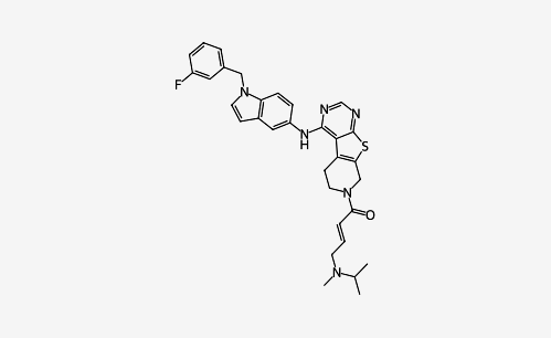 CC(C)N(C)CC=CC(=O)N1CCc2c(sc3ncnc(Nc4ccc5c(ccn5Cc5cccc(F)c5)c4)c23)C1